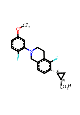 O=C(O)[C@@H]1C[C@H]1c1ccc2c(c1F)CCN(c1cc(OC(F)(F)F)ccc1F)C2